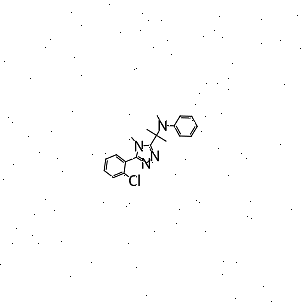 CN(c1ccccc1)C(C)(C)c1nnc(-c2ccccc2Cl)n1C